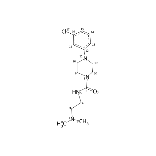 CN(C)CCNC(=O)N1CCN(c2cccc(Cl)c2)CC1